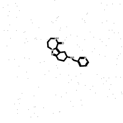 O=C1NCCCn2nc3c(c21)CC(NCc1cccnc1)CC3